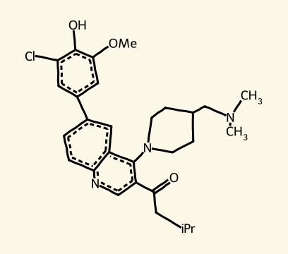 COc1cc(-c2ccc3ncc(C(=O)CC(C)C)c(N4CCC(CN(C)C)CC4)c3c2)cc(Cl)c1O